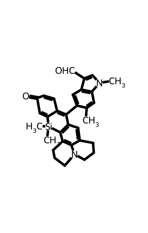 Cc1cc2c(cc1C1=C3C=CC(=O)C=C3[Si](C)(C)c3c1cc1c4c3CCCN4CCC1)c(C=O)cn2C